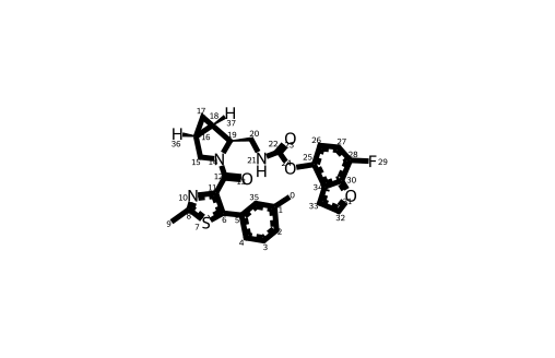 Cc1cccc(-c2sc(C)nc2C(=O)N2C[C@@H]3C[C@@H]3[C@H]2CNC(=O)Oc2ccc(F)c3occc23)c1